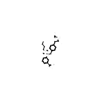 CCCCS(=O)(=O)N(Cc1ccc(C2SC(=O)NC2=O)cc1)c1cccc(C(=O)O)c1